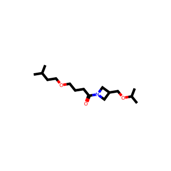 CC(C)CCOCCCC(=O)N1CC(COC(C)C)C1